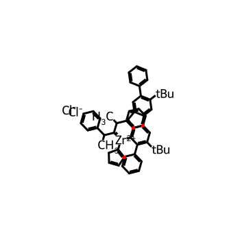 CC([C](C(C)c1ccccc1)=[Zr+2]([C]1=CC=CC1)[c]1c2c(cc(C(C)(C)C)c1-c1ccccc1)-c1cc(C(C)(C)C)c(-c3ccccc3)cc1C2)c1ccccc1.[Cl-].[Cl-]